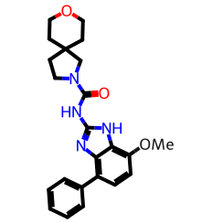 COc1ccc(-c2ccccc2)c2nc(NC(=O)N3CCC4(CCOCC4)C3)[nH]c12